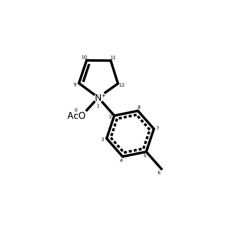 CC(=O)O[N+]1(c2ccc(C)cc2)C=CCC1